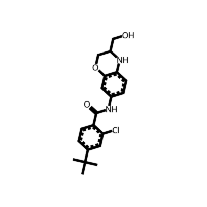 CC(C)(C)c1ccc(C(=O)Nc2ccc3c(c2)OCC(CO)N3)c(Cl)c1